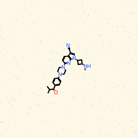 CNC1CC(n2cc(C#N)c3ccc(N4CCN(c5ccc(C(=O)C(C)C)cc5)CC4)nc32)C1